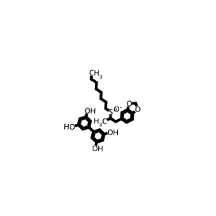 CCCCCCCC[S+]([O-])C(C)Cc1ccc2c(c1)OCO2.Oc1cc(O)cc(-c2cc(O)cc(O)c2)c1